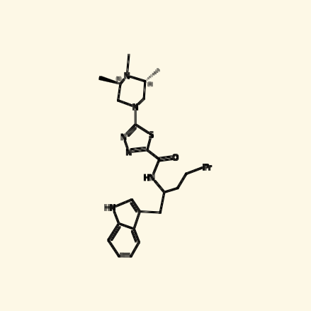 CC(C)CCC(Cc1c[nH]c2ccccc12)NC(=O)c1nnc(N2C[C@@H](C)N(C)[C@H](C)C2)s1